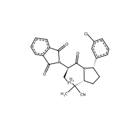 CC(C)(C#N)[C@H]1CC[C@@H](c2cccc(Cl)c2)N1C(=O)[C@@H](CF)N1C(=O)c2ccccc2C1=O